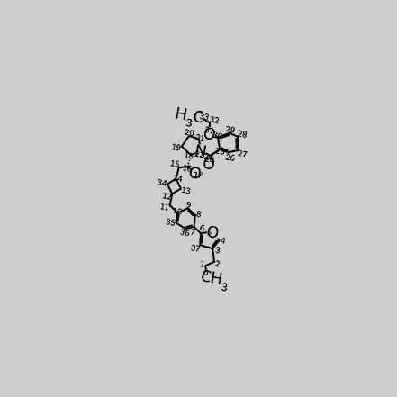 CCCc1coc(-c2ccc(CC3CC(CC(=O)[C@@H]4CCCN4C(=O)c4ccccc4OCC)C3)cc2)c1